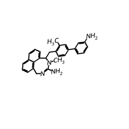 Cc1cc(-c2cccc(N)c2)ccc1CC1c2cccc3cccc(c23)C/N=C(/N)N1C